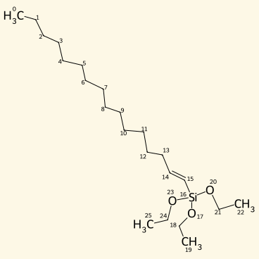 CCCCCCCCCCCCCCC=C[Si](OCC)(OCC)OCC